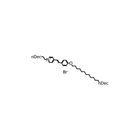 CCCCCCCCCCCCCCCCCCCCCCOc1ccc(/C=C/c2cc[n+](CCCCCCCCCCCC)cc2)cc1.[Br-]